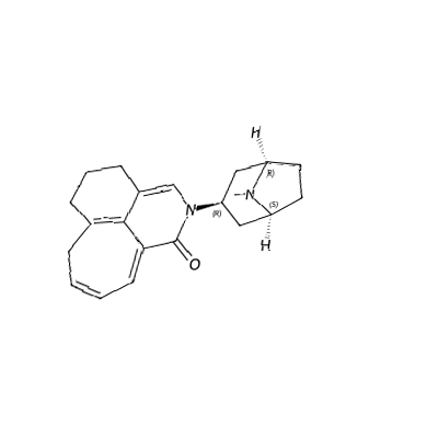 CN1[C@@H]2CC[C@H]1C[C@@H](n1cc3c4c(c1=O)=CC=CCC=4CCC3)C2